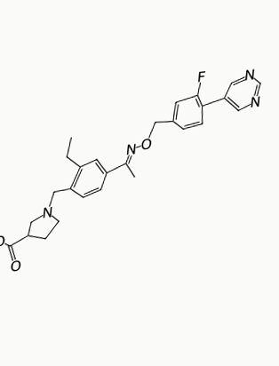 CCc1cc(C(C)=NOCc2ccc(-c3cncnc3)c(F)c2)ccc1CN1CCC(C(=O)O)C1